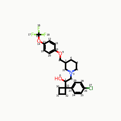 OC(CN1CCCC(COc2ccc(OC(F)(F)F)cc2)C1)C1(c2ccc(Cl)cc2)CCC1